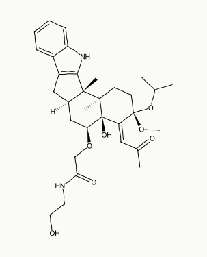 CO[C@]1(OC(C)C)CC[C@]2(C)[C@@]3(C)c4[nH]c5ccccc5c4C[C@@H]3C[C@H](OCC(=O)NCCO)[C@@]2(O)/C1=C/C(C)=O